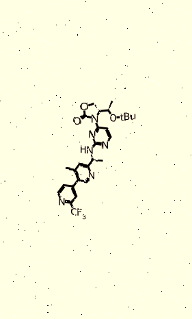 Cc1cc([C@H](C)Nc2nccc(N3C(=O)OC[C@@H]3[C@@H](C)OC(C)(C)C)n2)ncc1-c1ccnc(C(F)(F)F)c1